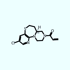 C=CC(=O)N1CCN2c3ncc(Cl)cc3SCC[C@H]2C1